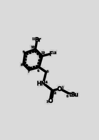 CC(C)(C)OC(=O)NCc1cccc(Br)c1F